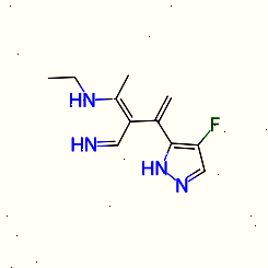 C=C(/C(C=N)=C(\C)NCC)c1[nH]ncc1F